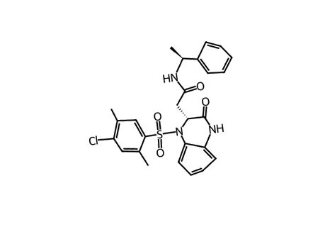 Cc1cc(S(=O)(=O)N2c3ccccc3NC(=O)[C@H]2CC(=O)N[C@@H](C)c2ccccc2)c(C)cc1Cl